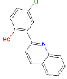 Oc1ccc(Cl)cc1-c1ccc2ccccc2n1